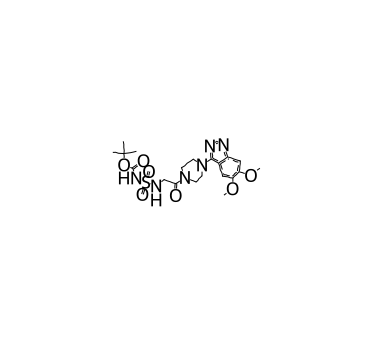 COc1cc2ncnc(N3CCN(C(=O)CNS(=O)(=O)NC(=O)OC(C)(C)C)CC3)c2cc1OC